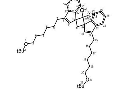 CC(C)(C)OCCCCCCC1=CC2(CC3(C=C(CCCCCCOC(C)(C)C)c4ccccc43)C2(C)C)c2ccccc21